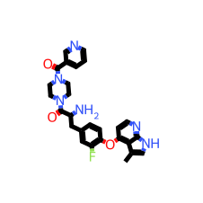 Cc1c[nH]c2nccc(Oc3ccc(CC(N)C(=O)N4CCN(C(=O)c5cccnc5)CC4)cc3F)c12